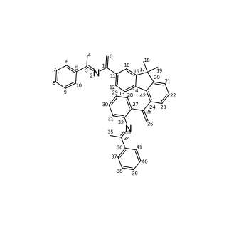 C=C(/N=C(\C)c1ccccc1)c1ccc2c(c1)C(C)(C)c1cccc(C(=C)c3ccccc3/N=C(\C)c3ccccc3)c1-2